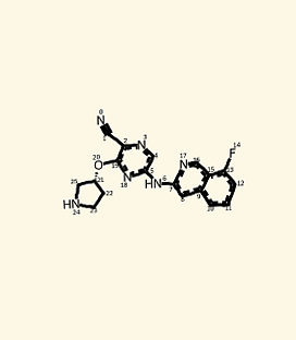 N#Cc1ncc(Nc2cc3cccc(F)c3cn2)nc1O[C@@H]1CCNC1